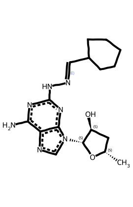 C[C@H]1C[C@H](O)[C@@H](n2cnc3c(N)nc(N/N=C/C4CCCCC4)nc32)O1